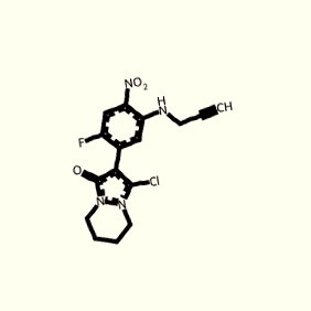 C#CCNc1cc(-c2c(Cl)n3n(c2=O)CCCC3)c(F)cc1[N+](=O)[O-]